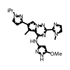 COc1cc(Nc2nc(-c3nccn3C)nn3cc(-c4ccn(C(C)C)n4)c(C)c23)n[nH]1